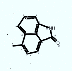 Cc1ccc2c3c(cccc13)NC2=O